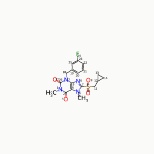 Cn1c(=O)c2c(nc(S(=O)(=O)CC3CC3)n2C)n(Cc2cccc(F)c2)c1=O